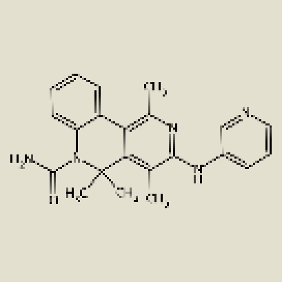 Cc1nc(Nc2cccnc2)c(C)c2c1-c1ccccc1N(C(N)=O)C2(C)C